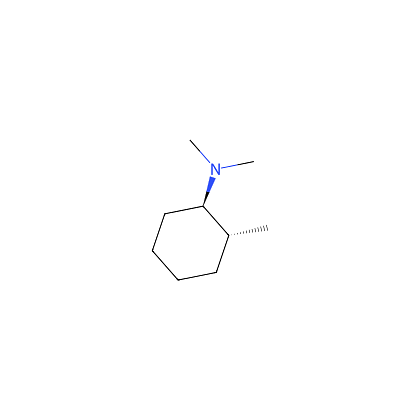 C[C@@H]1CCCC[C@H]1N(C)C